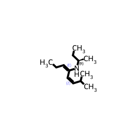 CC/C=C(\C=C/C(C)C)N[C@H](C)CC